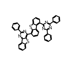 c1ccc(-c2nc(-c3ccccc3)nc(-c3cccc4sc5c(-c6nc(-c7ccccc7)nc7c6sc6ccccc67)cccc5c34)n2)cc1